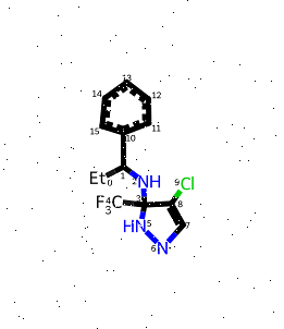 CCC(NC1(C(F)(F)F)N[N]C=C1Cl)c1ccccc1